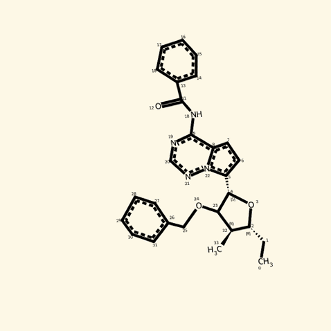 CC[C@H]1O[C@@H](c2ccc3c(NC(=O)c4ccccc4)ncnn23)C(OCc2ccccc2)[C@@H]1C